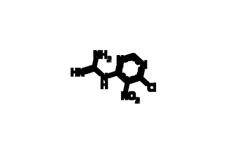 N=C(N)Nc1ncnc(Cl)c1[N+](=O)[O-]